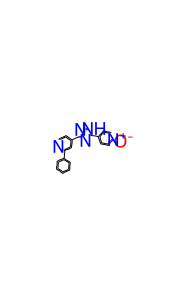 [O-][n+]1ccc(-c2nc(-c3ccnc(-c4ccccc4)c3)n[nH]2)cc1